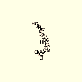 O=C(N[C@H]1CCN(C(=O)OCc2cc(Cl)cc(Cl)c2)C1)C1CC2CN(CC(=O)N3CC(O)C3)CC2C1